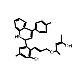 CCc1cc(C)cc(C2C=C(c3ccc(C)cc3)c3ccccc3N2)c1/C=C/COC(C)/C=C(/C)O